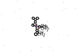 CC(C)(C)c1cc[n+]2c(c1)-c1cc3c(cc1C/C2=C1/Cc2cc4c5ccccc5c5ccccc5c4cc2-c2cccc[n+]21)-c1ccccc1C3(C)C